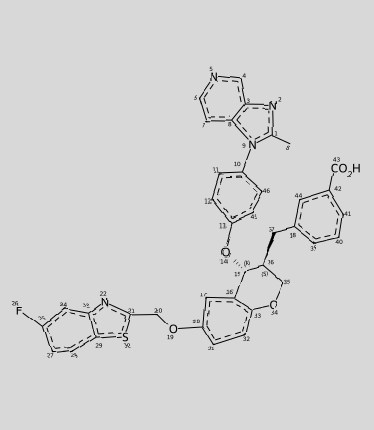 Cc1nc2cnccc2n1-c1ccc(O[C@H]2c3cc(OCc4nc5cc(F)ccc5s4)ccc3OC[C@@H]2Cc2cccc(C(=O)O)c2)cc1